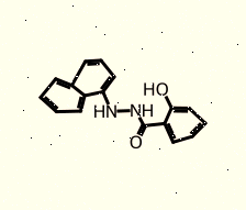 O=C(NNc1cccc2ccccc12)c1ccccc1O